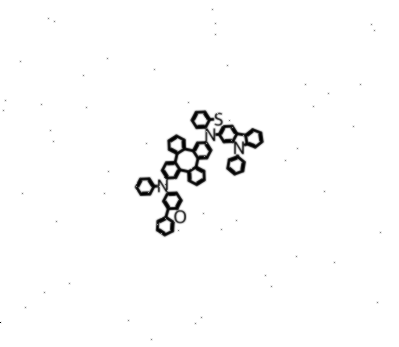 c1ccc(N(c2ccc3c(c2)-c2ccccc2-c2ccc(N4c5ccccc5Sc5cc6c7ccccc7n(-c7ccccc7)c6cc54)cc2-c2ccccc2-3)c2ccc3oc4ccccc4c3c2)cc1